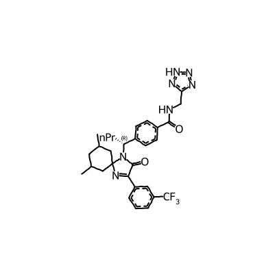 CCC[C@H](c1ccc(C(=O)NCc2nn[nH]n2)cc1)N1C(=O)C(c2cccc(C(F)(F)F)c2)=NC12CC(C)CC(C)C2